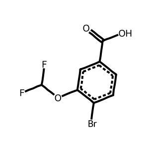 O=C(O)c1ccc(Br)c(OC(F)F)c1